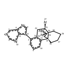 c1cc(-n2cnc3cncnc32)c2c(c1)[C@@]13CCCC[C@H]1[C@@H](C2)NCC3